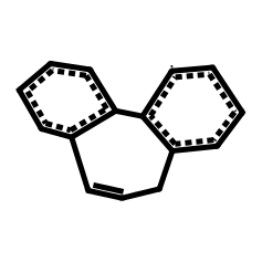 [c]1cccc2c1-c1ccccc1C=CC2